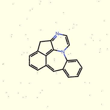 C1=CN2C3=c4c(cccc4=Cc4ccccc42)CC3=N1